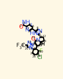 NC(=O)c1ccc(-c2cnc([C@@H]3CC[C@H]4CC(c5c(-n6cc(C(F)(F)F)nn6)ccc(Cl)c5F)=CC(=O)N43)[nH]2)cn1